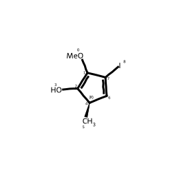 COC1=C(O)[C@H](C)C=C1I